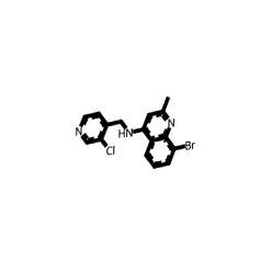 Cc1cc(NCc2ccncc2Cl)c2cccc(Br)c2n1